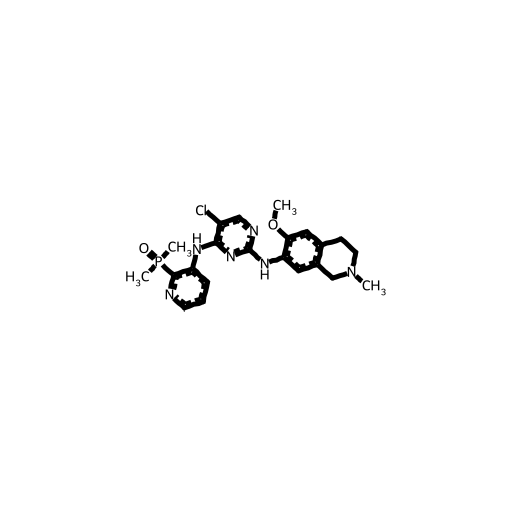 COc1cc2c(cc1Nc1ncc(Cl)c(Nc3cc[c]nc3P(C)(C)=O)n1)CN(C)CC2